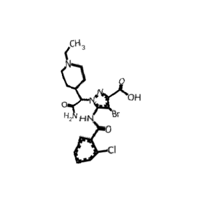 CCN1CCC(C(C(N)=O)n2nc(C(=O)O)c(Br)c2NC(=O)c2ccccc2Cl)CC1